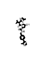 Cc1cnc(C(C(=O)N2C[C@H](O)C[C@H]2C(=O)NCc2ccc(-c3scnc3C)cc2)C(C)C)o1